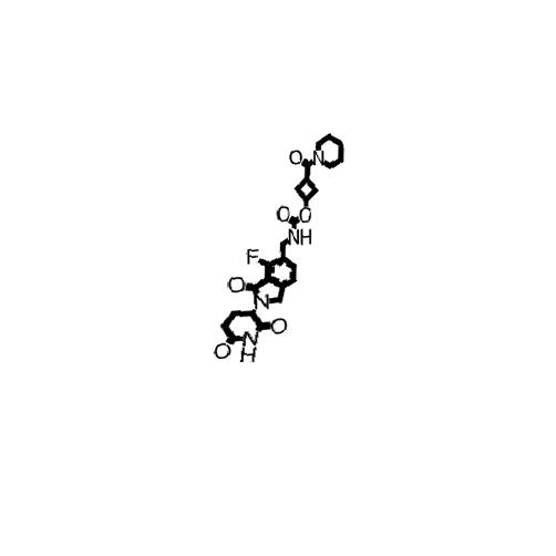 O=C1CC[C@H](N2Cc3ccc(CNC(=O)OC4CC(C(=O)N5CCCCC5)C4)c(F)c3C2=O)C(=O)N1